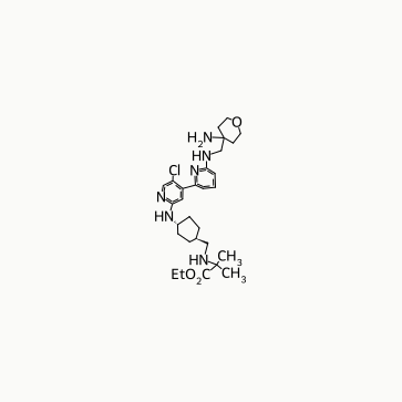 CCOC(=O)C(C)(C)NC[C@H]1CC[C@H](Nc2cc(-c3cccc(NCC4(N)CCOCC4)n3)c(Cl)cn2)CC1